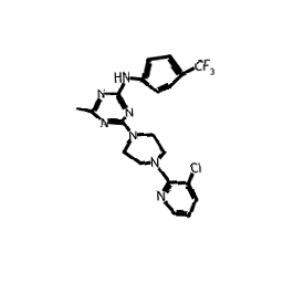 Cc1nc(Nc2ccc(C(F)(F)F)cc2)nc(N2CCN(c3ncccc3Cl)CC2)n1